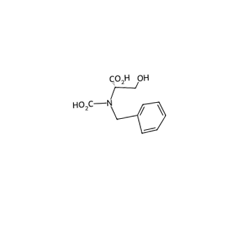 O=C(O)[C@H](CO)N(Cc1ccccc1)C(=O)O